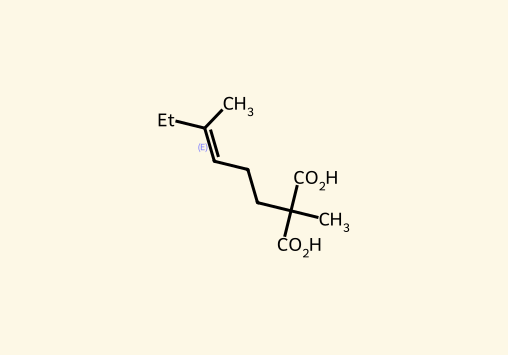 CC/C(C)=C/CCC(C)(C(=O)O)C(=O)O